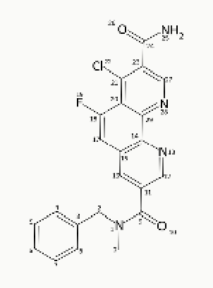 CN(Cc1ccccc1)C(=O)c1cnc2c(c1)cc(F)c1c(Cl)c(C(N)=O)cnc12